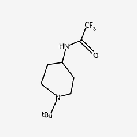 CC(C)(C)N1CCC(NC(=O)C(F)(F)F)CC1